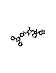 C=C/C=C\C(=C/BC)n1c(C)c(/C=C(C)/C(=C/C)/C=C(\C=C)c2nc3ccc(-c4nc(-c5ccccc5)nc(-c5ccccc5)n4)cc3s2)c(C=C)c1/C=C\C